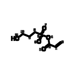 C=CC(=O)OS(=O)(=O)CCCO